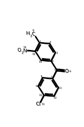 Cc1ccc(C(=O)c2ccc(Cl)cc2)cc1[N+](=O)[O-]